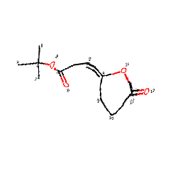 CC(C)(C)OC(=O)/C=C1\CCC(=O)O1